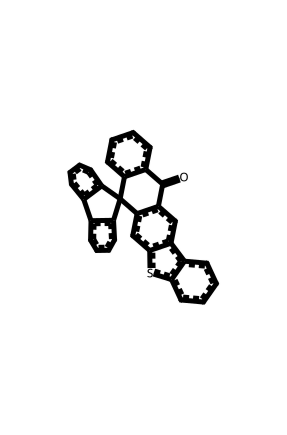 O=C1c2ccccc2C2(c3cc4sc5ccccc5c4cc31)c1ccccc1-c1ccccc12